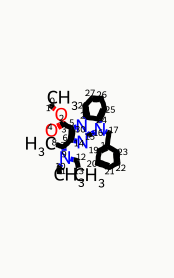 CCOC(=O)c1c(C(C)N(CC)CC)nc2n(Cc3ccccc3)c3ccccc3n12